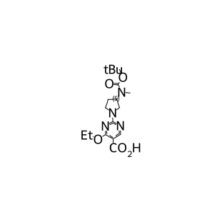 CCOc1nc(N2CC[C@H](N(C)C(=O)OC(C)(C)C)C2)ncc1C(=O)O